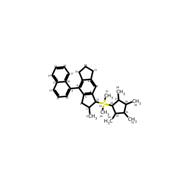 CC1Cc2c(cc3c(c2-c2cccc4ccccc24)CCC3)C1S(C)(C)C1C(C)C(C)C(C)C1C